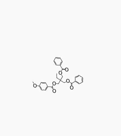 CCC(COC(=O)c1ccccc1)(COC(=O)c1ccccc1)COC(=O)c1ccc(OC)cc1